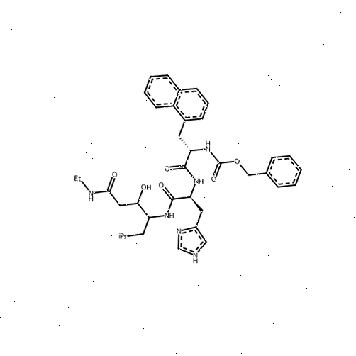 CCNC(=O)CC(O)C(CC(C)C)NC(=O)[C@H](Cc1c[nH]cn1)NC(=O)[C@H](Cc1cccc2ccccc12)NC(=O)OCc1ccccc1